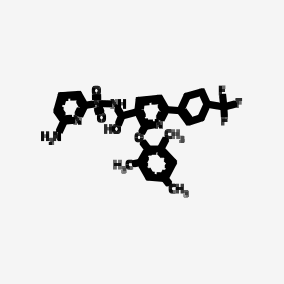 Cc1cc(C)c(Oc2nc(C3=CCC(C(F)(F)F)CC3)ccc2C(O)NS(=O)(=O)c2cccc(N)n2)c(C)c1